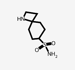 NS(=O)(=O)C1CCC2(CCN2)CC1